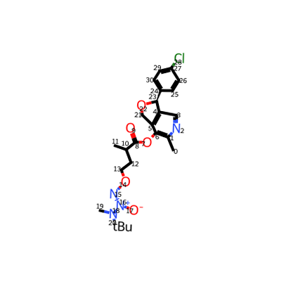 Cc1ncc2c(c1OC(=O)C(C)CCON=[N+]([O-])N(C)C(C)(C)C)CO[C@H]2c1ccc(Cl)cc1